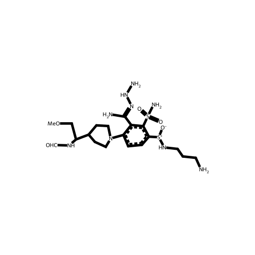 COCC(NC=O)C1CCN(c2ccc([S+]([O-])NCCCN)c(S(N)(=O)=O)c2/C(N)=N/NN)CC1